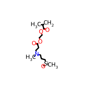 C=C(C)C(=O)OCCOC(=O)CCN(C)CCC[Si](C)=O